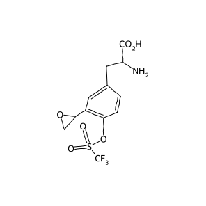 NC(Cc1ccc(OS(=O)(=O)C(F)(F)F)c(C2CO2)c1)C(=O)O